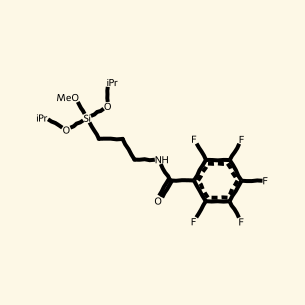 CO[Si](CCCNC(=O)c1c(F)c(F)c(F)c(F)c1F)(OC(C)C)OC(C)C